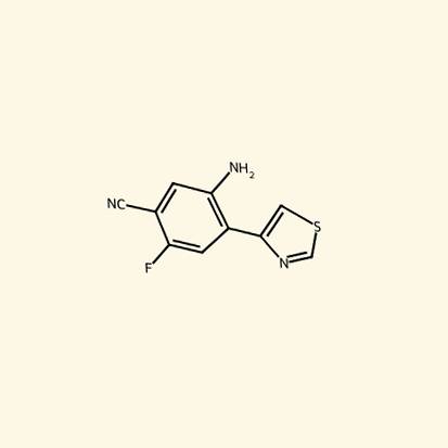 N#Cc1cc(N)c(-c2cscn2)cc1F